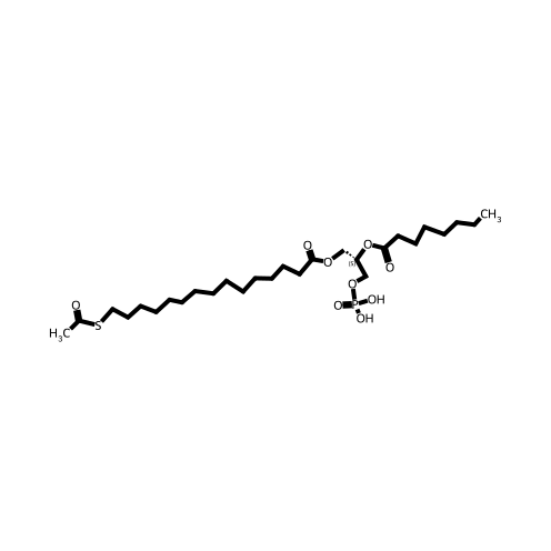 CCCCCCCC(=O)O[C@@H](COC(=O)CCCCCCCCCCCCCCSC(C)=O)COP(=O)(O)O